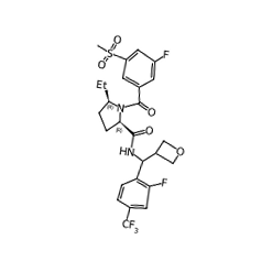 CC[C@@H]1CC[C@H](C(=O)NC(c2ccc(C(F)(F)F)cc2F)C2COC2)N1C(=O)c1cc(F)cc(S(C)(=O)=O)c1